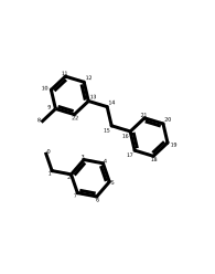 CCc1ccccc1.Cc1cccc(CCc2ccccc2)c1